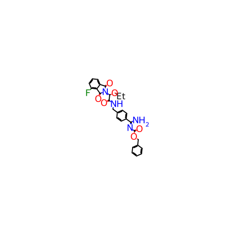 CCOC(C(=O)NCc1ccc(/C(N)=N/C(=O)OCc2ccccc2)cc1)N1C(=O)c2cccc(F)c2C1=O